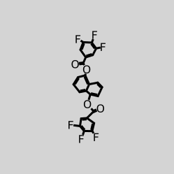 O=C(Oc1cccc2c(OC(=O)c3cc(F)c(F)c(F)c3)cccc12)c1cc(F)c(F)c(F)c1